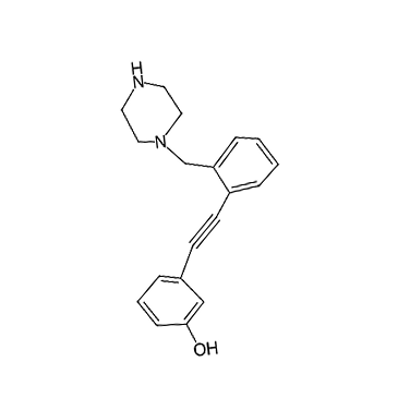 Oc1cccc(C#Cc2ccccc2CN2CCNCC2)c1